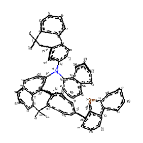 CC1(C)c2ccccc2-c2ccc(N(c3ccc4cccc5c4c3-c3ccc(-c4cccc6c4sc4ccccc46)cc3C5(C)C)c3cccc4ccccc34)cc21